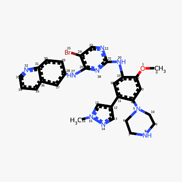 COc1cc(N2CCNCC2)c(-c2cnn(C)c2)cc1Nc1ncc(Br)c(Nc2ccc3ncccc3c2)n1